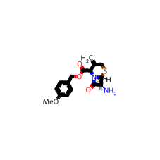 C=C1CS[C@H]2[C@H](N)C(=O)N2C1C(=O)OCc1ccc(OC)cc1